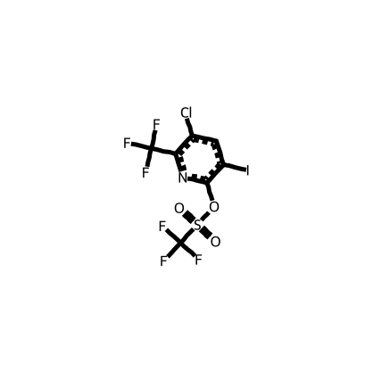 O=S(=O)(Oc1nc(C(F)(F)F)c(Cl)cc1I)C(F)(F)F